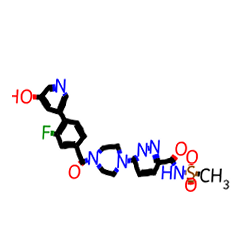 CS(=O)(=O)NC(=O)c1ccc(N2CCN(C(=O)c3ccc(-c4cncc(O)c4)c(F)c3)CC2)nn1